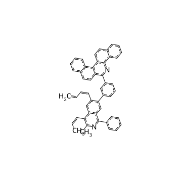 C=C/C=C\c1cc2c(/C=C\C)c(C)nc(-c3ccccc3)c2cc1-c1cccc(-c2nc3c4ccccc4ccc3c3c2ccc2ccccc23)c1